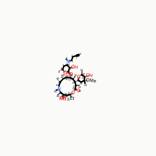 C#CCCN(C)[C@H]1C[C@@H](C)O[C@@H](O[C@@H]2[C@@H](C)[C@H](C3C[C@@](C)(OC)[C@@H](O)[C@H](C)O3)[C@@H](C)C(=O)O[C@H](CC)[C@@](C)(O)[C@H](O)[C@@H](C)N(C)C[C@H](C)C[C@@]2(C)O)[C@@H]1O